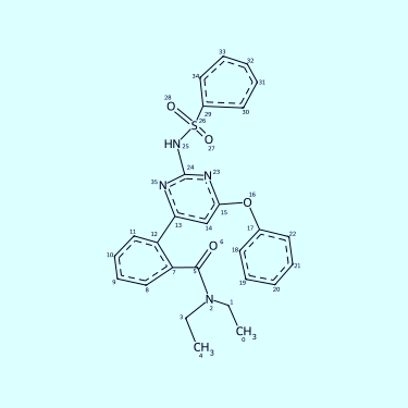 CCN(CC)C(=O)c1ccccc1-c1cc(Oc2ccccc2)nc(NS(=O)(=O)c2ccccc2)n1